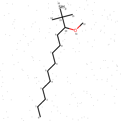 CCCCCCCCCCC(OC)C(C)(C)[SiH3]